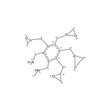 CNCc1c(CN)c(CC2CO2)c(CC2CO2)c(CC2CO2)c1CC1CO1